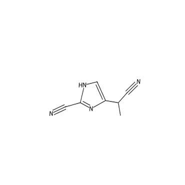 CC(C#N)c1c[nH]c(C#N)n1